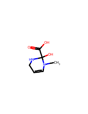 CN1C=CCNC1(O)C(=O)O